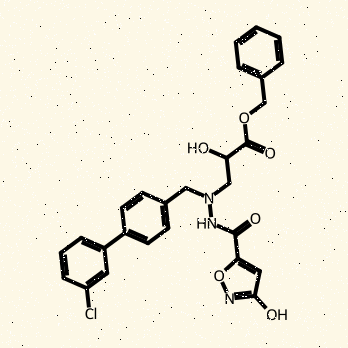 O=C(NN(Cc1ccc(-c2cccc(Cl)c2)cc1)CC(O)C(=O)OCc1ccccc1)c1cc(O)no1